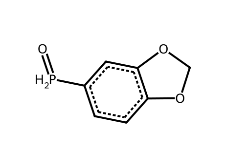 O=[PH2]c1ccc2c(c1)OCO2